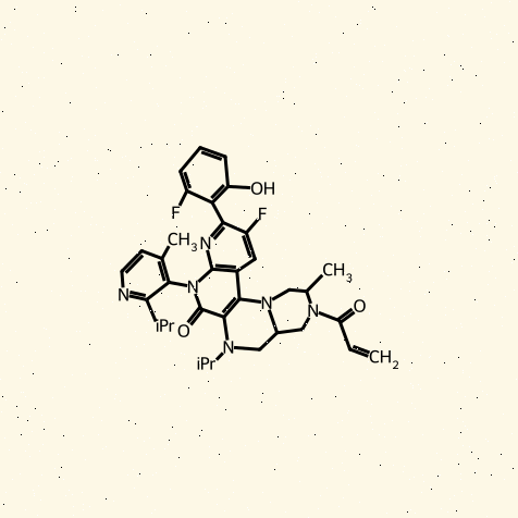 C=CC(=O)N1CC2CN(C(C)C)c3c(c4cc(F)c(-c5c(O)cccc5F)nc4n(-c4c(C)ccnc4C(C)C)c3=O)N2CC1C